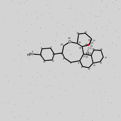 CCCC1CCC(C2CCC3CCC4CCCCC4C3C3C(CCC4CCCC[C@H]43)OC2)CC1